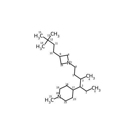 CCC(C(C)CCN1CC(CCC(C)(C)C)C1)C1CCN(C)CC1